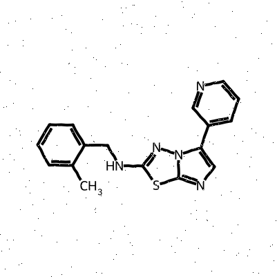 Cc1ccccc1CNc1nn2c(-c3cccnc3)cnc2s1